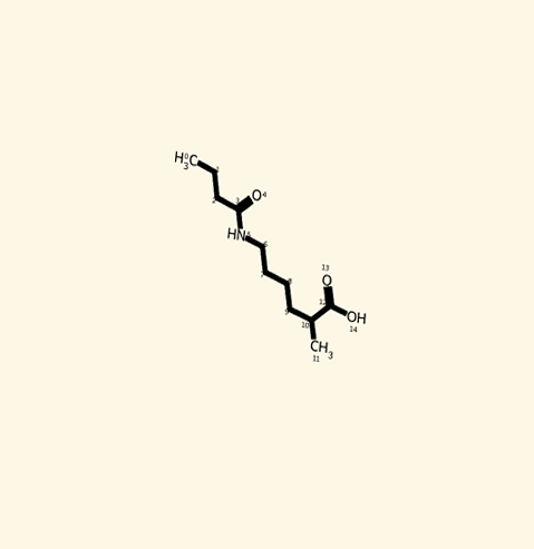 CCCC(=O)NCCCCC(C)C(=O)O